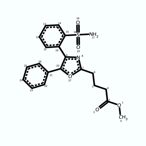 COC(=O)CCCc1nc(-c2ccccc2S(N)(=O)=O)c(-c2ccccc2)o1